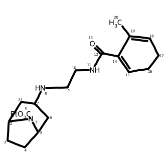 CCOC(=O)N1C2CCC1CC(NCCNC(=O)C1=CCCC=C1C)C2